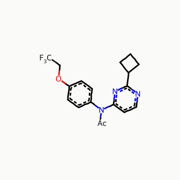 CC(=O)N(c1ccc(OCC(F)(F)F)cc1)c1ccnc(C2CCC2)n1